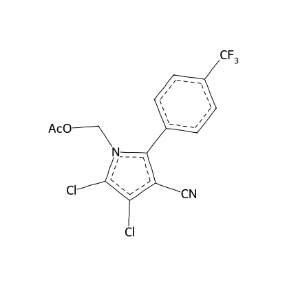 CC(=O)OCn1c(Cl)c(Cl)c(C#N)c1-c1ccc(C(F)(F)F)cc1